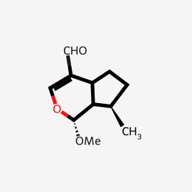 CO[C@@H]1OC=C(C=O)C2CC[C@@H](C)C21